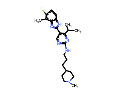 Cc1c(F)ccc2[nH]c(-c3cnc(NCCCC4CCN(C)CC4)nc3C(C)C)nc12